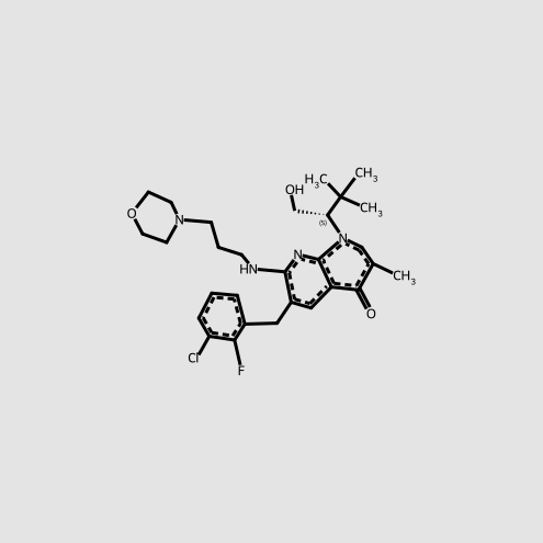 Cc1cn([C@H](CO)C(C)(C)C)c2nc(NCCCN3CCOCC3)c(Cc3cccc(Cl)c3F)cc2c1=O